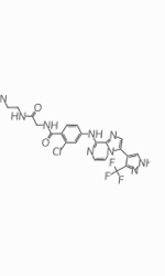 NCCNC(=O)CNC(=O)c1ccc(Nc2nccn3c(-c4c[nH]nc4C(F)(F)F)cnc23)cc1Cl